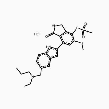 CCCN(CC)Cc1ccc2[nH]c(-c3cc(OC)c(OS(C)(=O)=O)c4c3C(=O)NC4)cc2c1.Cl